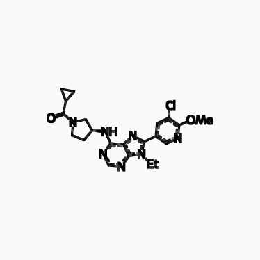 CCn1c(-c2cnc(OC)c(Cl)c2)nc2c(N[C@H]3CCN(C(=O)C4CC4)C3)ncnc21